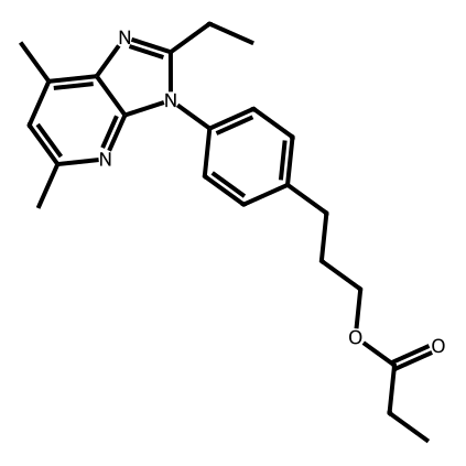 CCC(=O)OCCCc1ccc(-n2c(CC)nc3c(C)cc(C)nc32)cc1